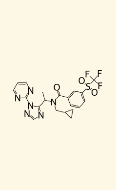 CC(c1ncnn1-c1ncccn1)N(CC1CC1)C(=O)c1cccc(S(=O)(=O)C(F)(F)F)c1